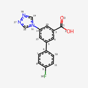 O=C(O)c1cc(-c2ccc(F)cc2)cc(-n2cnnc2)c1